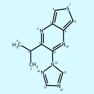 CC(C)c1nc2cscc2nc1-n1cncn1